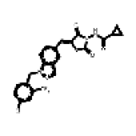 O=C(NN1C(=O)SC(=Cc2ccc3c(cnn3Cc3ccc(Cl)cc3C(F)(F)F)c2)C1=O)C1CC1